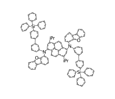 CC(C)c1cc(N(c2cccc(-c3ccc([Si](c4ccccc4)(c4ccccc4)c4ccccc4)cc3)c2)c2cccc3c2oc2ccccc23)c2ccc3c(C(C)C)cc(N(c4cccc(-c5ccc([Si](c6ccccc6)(c6ccccc6)c6ccccc6)cc5)c4)c4cccc5c4oc4ccccc45)c4ccc1c2c34